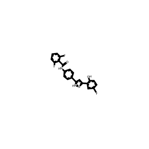 O=C(Nc1ccc(-c2cc(-c3cc(F)ccc3O)n[nH]2)cc1)c1c(F)cccc1F